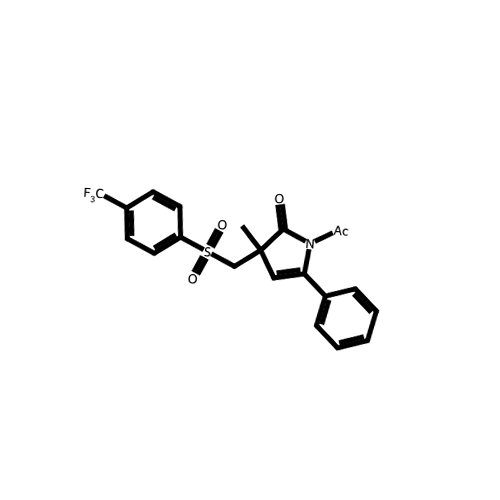 CC(=O)N1C(=O)C(C)(CS(=O)(=O)c2ccc(C(F)(F)F)cc2)C=C1c1ccccc1